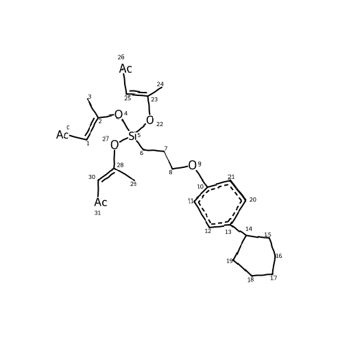 CC(=O)C=C(C)O[Si](CCCOc1ccc(C2CCCCC2)cc1)(OC(C)=CC(C)=O)OC(C)=CC(C)=O